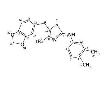 Cc1ccc(Nc2nc(C(C)(C)C)c(Cc3ccc4c(c3)OCO4)s2)cc1C